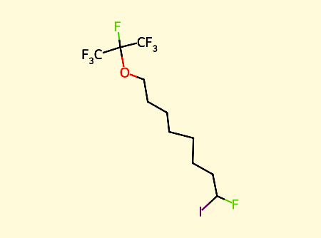 FC(I)CCCCCCCOC(F)(C(F)(F)F)C(F)(F)F